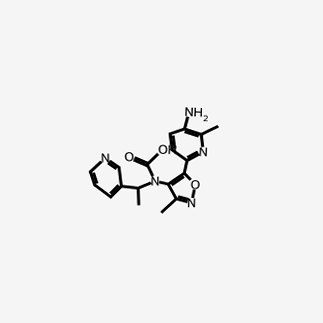 Cc1nc(-c2onc(C)c2N(C(=O)O)C(C)c2cccnc2)ccc1N